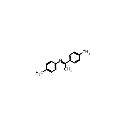 C/C(=N\c1ccc(C)cc1)c1ccc(C)cc1